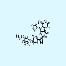 C[C@@H]1CN(c2ccc(Nc3ncc4c5ccnc(F)c5n(C5CCCC5)c4n3)nc2)CCN1